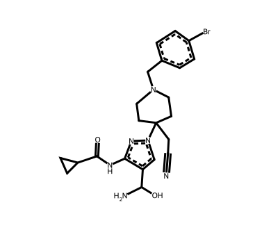 N#CCC1(n2cc(C(N)O)c(NC(=O)C3CC3)n2)CCN(Cc2ccc(Br)cc2)CC1